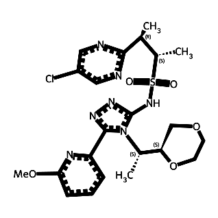 COc1cccc(-c2nnc(NS(=O)(=O)[C@@H](C)[C@H](C)c3ncc(Cl)cn3)n2[C@@H](C)[C@H]2COCCO2)n1